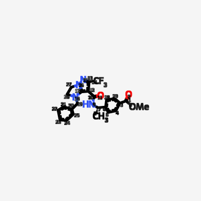 COC(=O)c1ccc([C@H](C)NC(=O)c2c(C(F)(F)F)nn3c2N(Cc2ccccc2)CC3)cc1